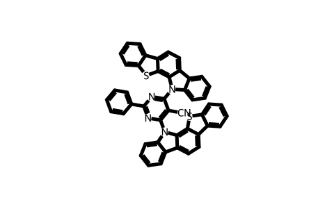 N#Cc1c(-n2c3ccccc3c3ccc4c5ccccc5sc4c32)nc(-c2ccccc2)nc1-n1c2ccccc2c2ccc3c4ccccc4sc3c21